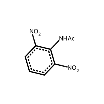 CC(=O)Nc1c([N+](=O)[O-])cccc1[N+](=O)[O-]